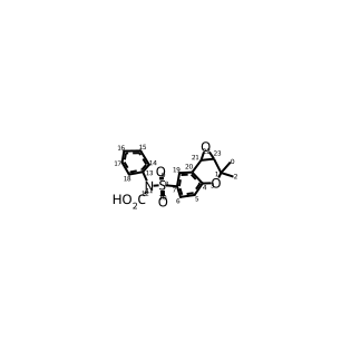 CC1(C)Oc2ccc(S(=O)(=O)N(C(=O)O)c3ccccc3)cc2C2OC21